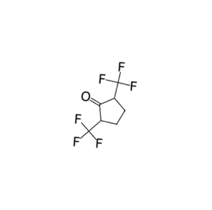 O=C1C(C(F)(F)F)CCC1C(F)(F)F